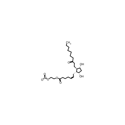 CCCCCCCC(=O)CC[C@@H]1[C@@H](C/C=C\CCCC(=O)OCCO[N+](=O)[O-])[C@@H](O)C[C@H]1O